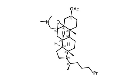 CC(=O)O[C@H]1CC[C@]2(C)[C@H]3CC[C@]4(C)[C@@H]([C@H](C)CCCC(C)C)CC[C@H]4[C@@H]3C[C@@]3(CN(C)C)O[C@@]32C1